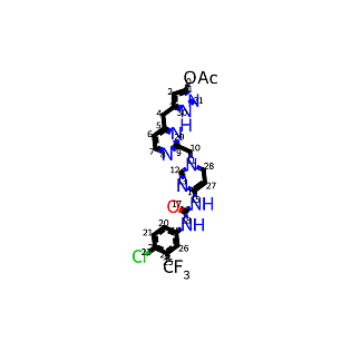 CC(=O)Oc1cc(Cc2ccnc(CN3C=NC(NC(=O)Nc4ccc(Cl)c(C(F)(F)F)c4)=CC3)n2)[nH]n1